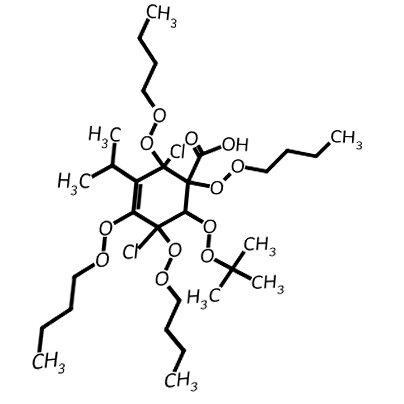 CCCCOOC1=C(C(C)C)C(Cl)(OOCCCC)C(OOCCCC)(C(=O)O)C(OOC(C)(C)C)C1(Cl)OOCCCC